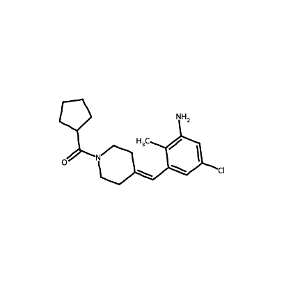 Cc1c(N)cc(Cl)cc1C=C1CCN(C(=O)C2CCCC2)CC1